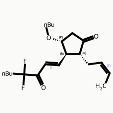 C/C=C\C[C@H]1C(=O)C[C@@H](OCCCC)[C@@H]1/C=C/C(=O)C(F)(F)CCCC